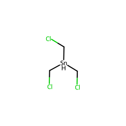 Cl[CH2][SnH]([CH2]Cl)[CH2]Cl